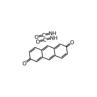 N=C=O.N=C=O.O=C1C=Cc2cc3c(cc2=C1)C=CC(=O)C=3